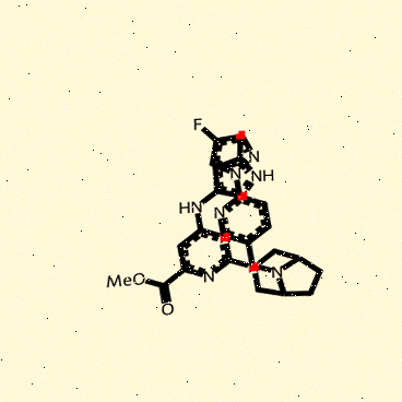 COC(=O)c1cc(Nc2cc(C)[nH]n2)nc(N2CC3CCC(C2)N3Cc2ccc(-n3cc(F)cn3)nc2)n1